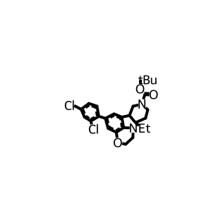 CCC12CCN(C(=O)OC(C)(C)C)CC1c1cc(-c3ccc(Cl)cc3Cl)cc3c1N2CCO3